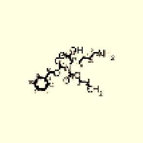 C=CCOC(=O)N(C(=O)OCc1ccccc1)[C@@H](CCCCN)C(=O)O